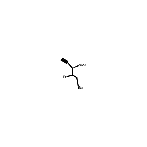 C#C[C@@H](NC)C(CC)CC(C)CC